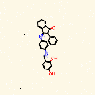 O=C1c2ccccc2/C(=N/c2ccc(/N=C/c3ccc(O)cc3O)cc2)C1c1ccccc1